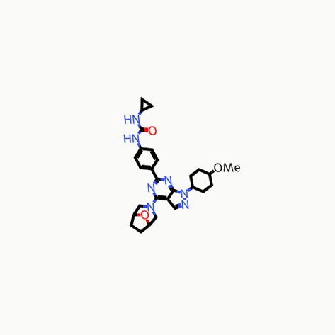 COC1CCC(n2ncc3c(N4CC5CCC(C4)O5)nc(-c4ccc(NC(=O)NC5CC5)cc4)nc32)CC1